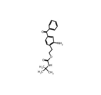 CC(C)(C)NC(=O)OCCc1ccc(C(=O)c2ccccc2)cc1N